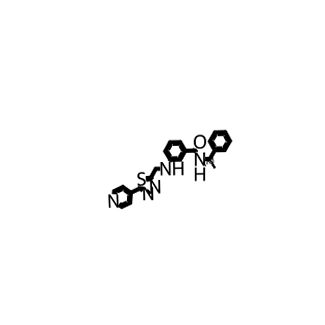 C[C@@H](NC(=O)c1cccc(NCc2nnc(-c3ccncc3)s2)c1)c1ccccc1